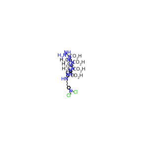 Cn1cc(N(C(=O)O)c2cc(N(C(=O)O)c3cc(N(C(=O)O)c4cc(NCCCCc5ccc(N(CCCl)CCCl)cc5)cn4C)cn3C)cn2C)cc1N(CCC(=N)N)C(=O)O